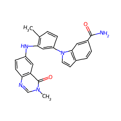 Cc1ccc(-n2ccc3ccc(C(N)=O)cc32)cc1Nc1ccc2ncn(C)c(=O)c2c1